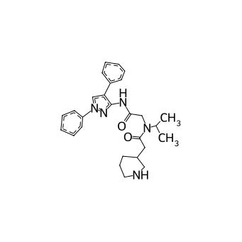 CC(C)N(CC(=O)Nc1nn(-c2ccccc2)cc1-c1ccccc1)C(=O)CC1CCCNC1